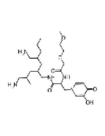 CCCC(CN)CC(CNC(=O)C(Cn1ccc(=O)c(O)c1)NC(=O)COCCOC)CC(C)CN